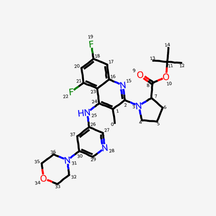 Cc1c(N2CCCC2C(=O)OC(C)(C)C)nc2cc(F)cc(F)c2c1Nc1cncc(N2CCOCC2)c1